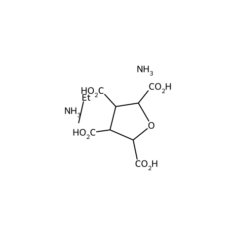 CCC.N.N.O=C(O)C1OC(C(=O)O)C(C(=O)O)C1C(=O)O